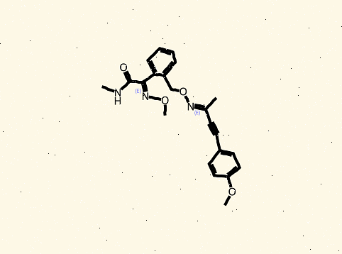 CNC(=O)/C(=N/OC)c1ccccc1CO/N=C(\C)C#Cc1ccc(OC)cc1